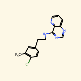 FC(F)(F)c1cc(CCNc2ncnc3cccnc23)ccc1Cl